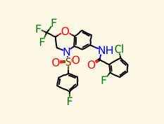 O=C(Nc1ccc2c(c1)N(S(=O)(=O)c1ccc(F)cc1)CC(C(F)(F)F)O2)c1c(F)cccc1Cl